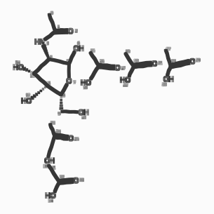 CC(=O)N[C@H]1C(O)O[C@H](CO)[C@H](O)[C@@H]1O.CC(=O)O.CC(=O)O.CC(=O)O.CC(=O)O.CC(=O)O